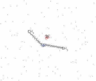 CCCCCCCCCCCCCCCCCCn1cc[n+](CCCCCCCCCCCCCCCCCC)c1.O=C([O-])[O-].[H+]